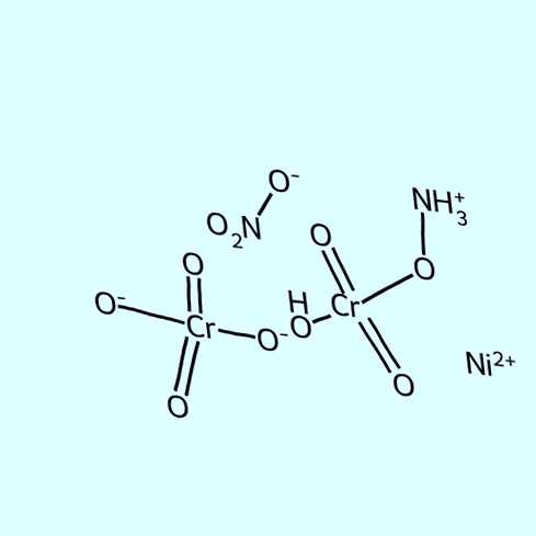 O=[N+]([O-])[O-].[NH3+][O][Cr](=[O])(=[O])[OH].[Ni+2].[O]=[Cr](=[O])([O-])[O-]